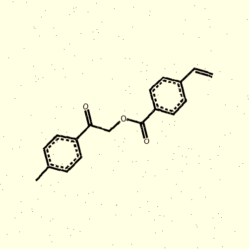 C=Cc1ccc(C(=O)OCC(=O)c2ccc(C)cc2)cc1